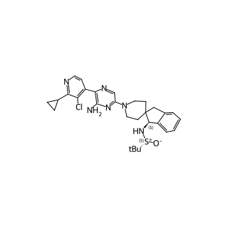 CC(C)(C)[S@@+]([O-])N[C@@H]1c2ccccc2CC12CCN(c1cnc(-c3ccnc(C4CC4)c3Cl)c(N)n1)CC2